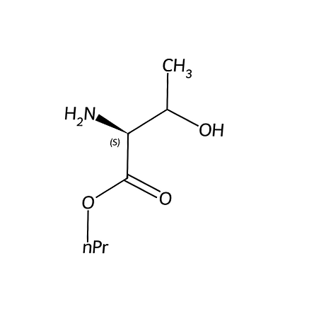 CCCOC(=O)[C@@H](N)C(C)O